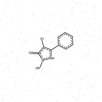 CCCn1[nH]c(-c2ccccc2)c(CC)c1=O